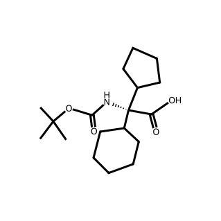 CC(C)(C)OC(=O)N[C@](C(=O)O)(C1CCCCC1)C1CCCC1